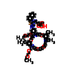 CCOCCOCCN1CCOCCOCCN(C)c2ccc(C)cc2OCCN(c2ccc(/N=N/c3sc4ccc5ccccc5c4[n+]3CCCS(=O)(=O)O)cc2OCCOC)CCOc2cc(C)ccc21